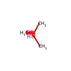 CCCCCCCCCCCCCCCCCC(=O)OC[C@H](COP(=O)(O)OCCNC(=O)OC)OC(=O)CCCCCCCCCCCCCCCCC